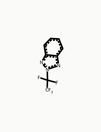 FC(F)(F)C(F)(F)n1nc2ccccc2n1